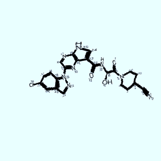 N#CC1CCN(C(=O)[C@@H](O)NC(=O)c2c[nH]c3ncc(-n4ncc5cc(Cl)ccc54)nc23)CC1